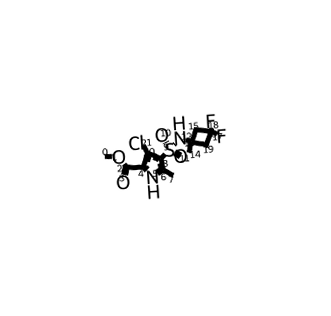 COC(=O)c1[nH]c(C)c(S(=O)(=O)NC2(C)CC(F)(F)C2)c1Cl